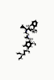 C=C(Nc1ccccc1P(C)(C)=N)/C(=C\N=C(/C)Nc1cc(C)c(N(C)CCN(CC)CC)cc1OC)C1CC1